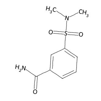 CN(C)S(=O)(=O)c1cccc(C(N)=O)c1